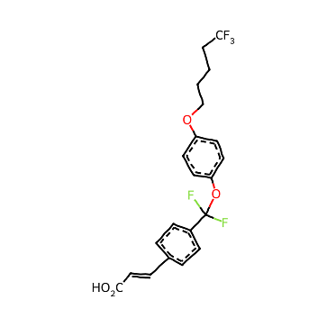 O=C(O)/C=C/c1ccc(C(F)(F)Oc2ccc(OCCCCC(F)(F)F)cc2)cc1